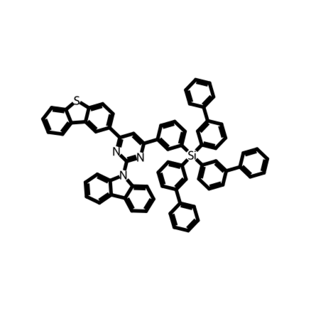 c1ccc(-c2cccc([Si](c3cccc(-c4ccccc4)c3)(c3cccc(-c4ccccc4)c3)c3cccc(-c4cc(-c5ccc6sc7ccccc7c6c5)nc(-n5c6ccccc6c6ccccc65)n4)c3)c2)cc1